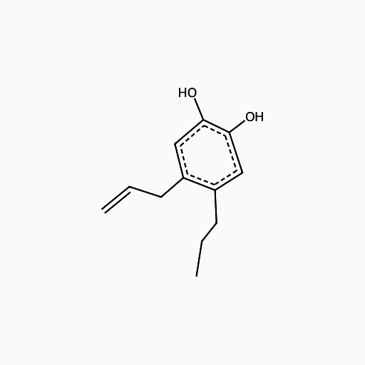 C=CCc1cc(O)c(O)cc1CCC